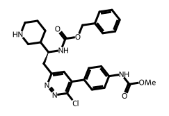 COC(=O)Nc1ccc(-c2cc(C[C@H](NC(=O)OCc3ccccc3)C3CCCNC3)nnc2Cl)cc1